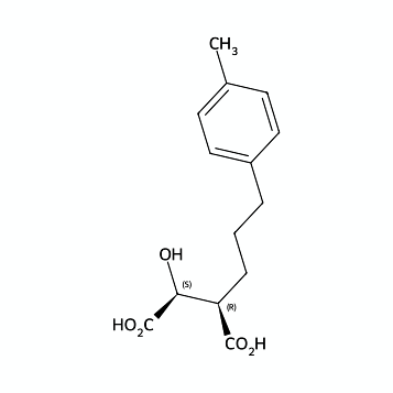 Cc1ccc(CCC[C@@H](C(=O)O)[C@H](O)C(=O)O)cc1